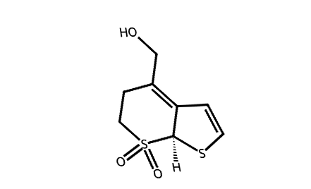 O=S1(=O)CCC(CO)=C2C=CS[C@H]21